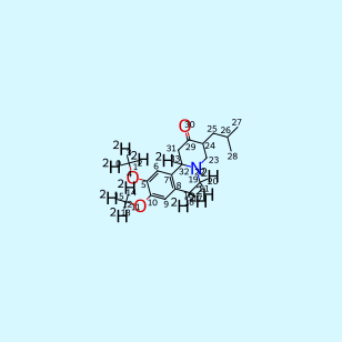 [2H]C([2H])([2H])Oc1cc2c(cc1OC([2H])([2H])[2H])C([2H])([2H])C([2H])([2H])N1CC(CC(C)C)C(=O)CC21[2H]